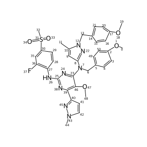 COc1ccc(CN(c2cc(C)n(Cc3ccc(OC)cc3)n2)c2nc(Nc3ccc(S(C)(=O)=O)cc3F)nc(-c3ccn(C)n3)c2OC)cc1